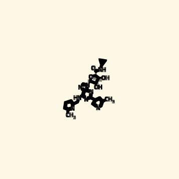 Cc1cncc(-c2nc(NCc3cccc(C)n3)c3ncn([C@@H]4O[C@H](C(=O)NC5CC5)[C@@H](O)[C@H]4O)c3n2)c1